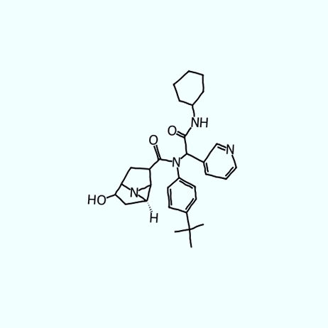 CC(C)(C)c1ccc(N(C(=O)C2CC3C(O)C[C@@H]4C2N34)C(C(=O)NC2CCCCC2)c2cccnc2)cc1